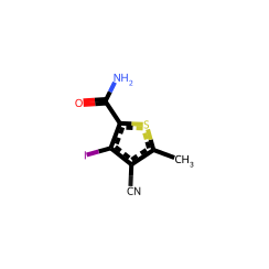 Cc1sc(C(N)=O)c(I)c1C#N